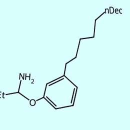 CCCCCCCCCCCCCCCc1cccc(OC(N)CC)c1